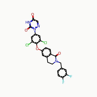 O=C1c2ccc(Oc3c(Cl)cc(-n4ncc(=O)[nH]c4=O)cc3Cl)cc2CCN1Cc1ccc(F)c(F)c1